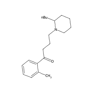 CCCCC1CCCCN1CCCC(=O)c1ccccc1C